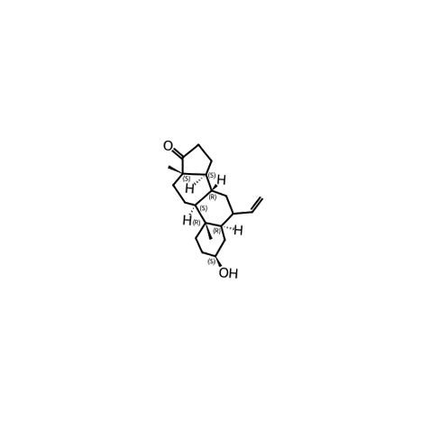 C=CC1C[C@@H]2[C@H](CC[C@]3(C)C(=O)CC[C@@H]23)[C@@]2(C)CC[C@H](O)C[C@H]12